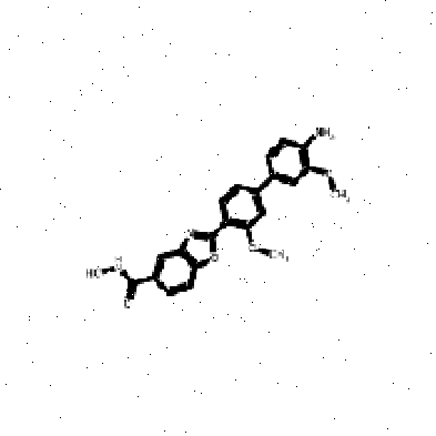 COc1cc(-c2ccc(-c3nc4cc(C(=O)NO)ccc4o3)c(OC)c2)ccc1N